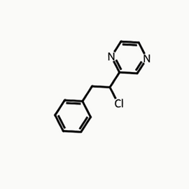 ClC(Cc1ccccc1)c1cnccn1